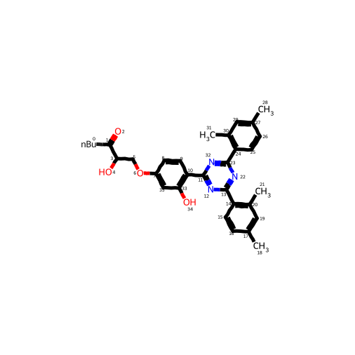 CCCCC(=O)C(O)COc1ccc(-c2nc(-c3ccc(C)cc3C)nc(-c3ccc(C)cc3C)n2)c(O)c1